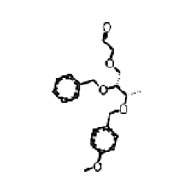 COc1ccc(CO[C@@H](C)[C@@H](COCC=O)OCc2ccccc2)cc1